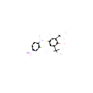 CC(C)(C)c1cc(S(=O)(=O)Nc2ccc([N+](=O)[O-])cc2Cl)cc(C(C)(C)C)c1O